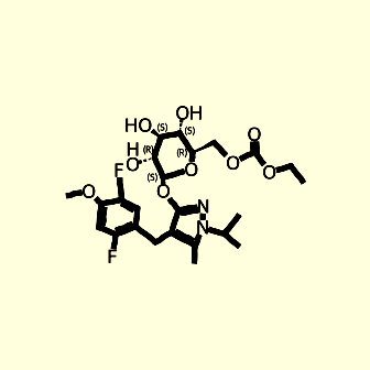 CCOC(=O)OC[C@H]1O[C@@H](Oc2nn(C(C)C)c(C)c2Cc2cc(F)c(OC)cc2F)[C@H](O)[C@@H](O)[C@@H]1O